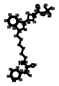 CN(C(=O)NCCCCCCC1CN(C2CN(C(=O)OC(C)(C)C)C2)c2ccccc21)c1cccnc1